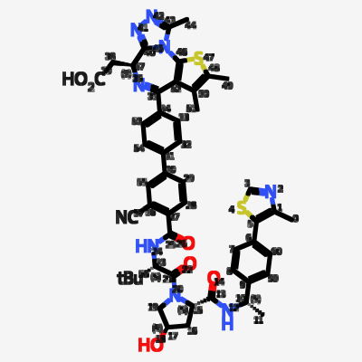 Cc1ncsc1-c1ccc([C@H](C)NC(=O)[C@@H]2C[C@@H](O)CN2C(=O)[C@@H](NC(=O)c2ccc(-c3ccc(C4=N[C@@H](CC(=O)O)c5nnc(C)n5-c5sc(C)c(C)c54)cc3)cc2C#N)C(C)(C)C)cc1